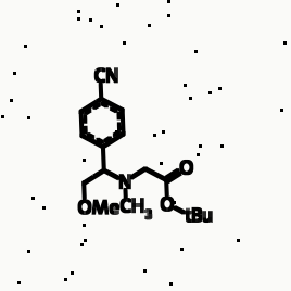 COCC(c1ccc(C#N)cc1)N(C)CC(=O)OC(C)(C)C